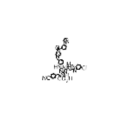 N#Cc1ccc(CC(Nc2nc(NCc3nc4cc(Cl)ccc4[nH]3)nc(Nc3cccc(CN4CCN(C(=O)c5cccc(-n6cccn6)c5)CC4)c3)n2)C(=O)O)cc1